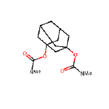 CNC(=O)OC12CC3CC(C1)CC(OC(=O)NC)(C3)C2